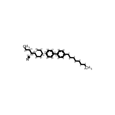 CCCCCCCCc1ccc(-c2ccc([C@H]3CC[C@@H]([C@H](C#N)CCC)CC3)cc2)cc1